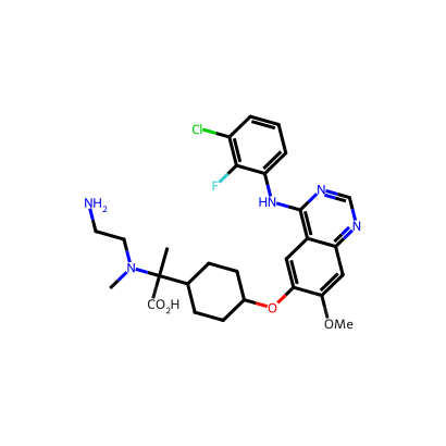 COc1cc2ncnc(Nc3cccc(Cl)c3F)c2cc1OC1CCC(C(C)(C(=O)O)N(C)CCN)CC1